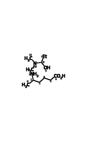 CC(N)CCCC(=O)O.CCC(O)N(C)C